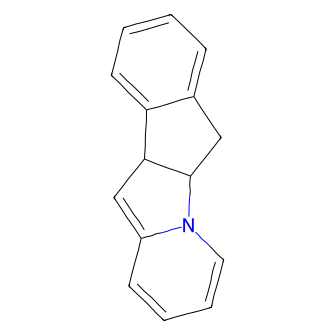 C1=CC2=CC3c4ccccc4CC3N2C=C1